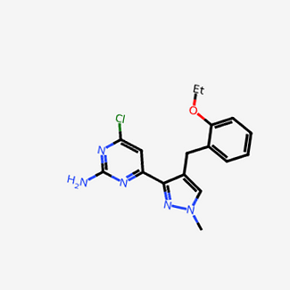 CCOc1ccccc1Cc1cn(C)nc1-c1cc(Cl)nc(N)n1